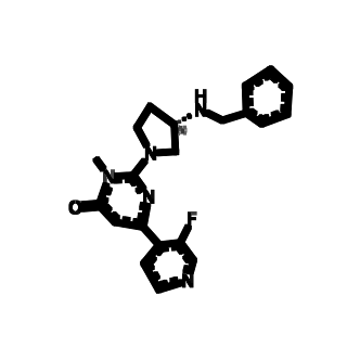 Cn1c(N2CC[C@H](NCc3ccccc3)C2)nc(-c2ccncc2F)cc1=O